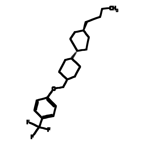 CCCC[C@H]1CC[C@H](C2CCC(COc3ccc(C(F)(F)F)cc3)CC2)CC1